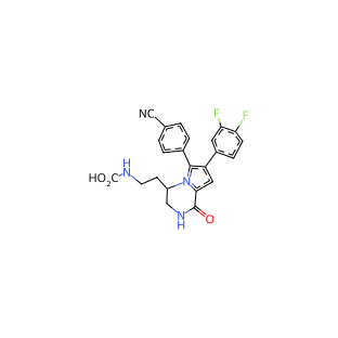 N#Cc1ccc(-c2c(-c3ccc(F)c(F)c3)cc3n2C(CCNC(=O)O)CNC3=O)cc1